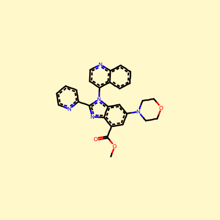 COC(=O)c1cc(N2CCOCC2)cc2c1nc(-c1ccccn1)n2-c1ccnc2ccccc12